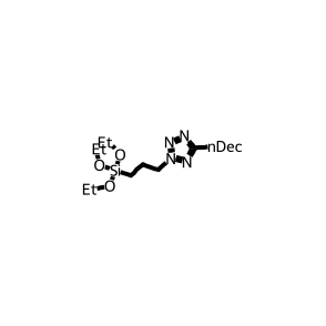 CCCCCCCCCCc1nnn(CCC[Si](OCC)(OCC)OCC)n1